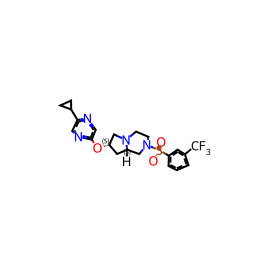 O=S(=O)(c1cccc(C(F)(F)F)c1)N1CCN2C[C@@H](Oc3cnc(C4CC4)cn3)C[C@H]2C1